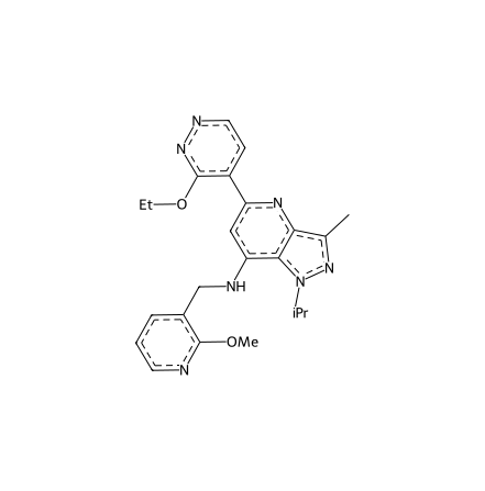 CCOc1nnccc1-c1cc(NCc2cccnc2OC)c2c(n1)c(C)nn2C(C)C